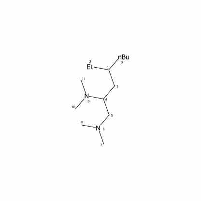 CCCCC(CC)CC(CN(C)C)N(C)C